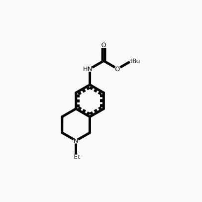 CCN1CCc2cc(NC(=O)OC(C)(C)C)ccc2C1